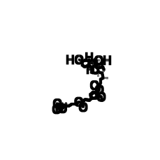 COc1cc(C=CC(=O)OCCCCO[N+](=O)[O-])ccc1OC(=O)CC[C@@H](C)[C@H]1CC[C@H]2[C@@H]3[C@@H](O)C[C@@H]4C[C@H](O)CC[C@]4(C)[C@H]3CC[C@]12C